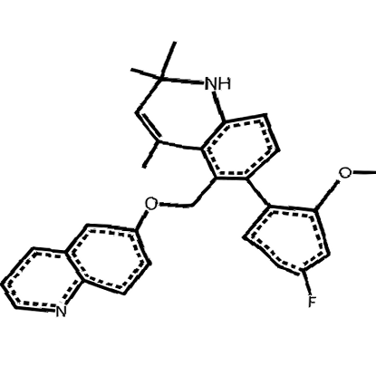 COc1cc(F)ccc1-c1ccc2c(c1COc1ccc3ncccc3c1)C(C)=CC(C)(C)N2